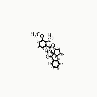 COc1cccc(C(=O)NC2(C(=O)c3ccccc3)CCCC2)c1C